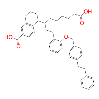 O=C(O)CCCCCC(CCc1ccccc1OCc1ccc(CCc2ccccc2)cc1)C1CCCc2cc(C(=O)O)ccc21